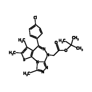 Cc1sc2c(c1C)C(c1ccc(Cl)cc1)=NN(CC(=O)OC(C)(C)C)c1nnc(C)n1-2